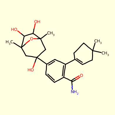 CC1(C)CC=C(c2cc(C3(O)CC4(C)OC(C)(C3)C(O)C4O)ccc2C(N)=O)CC1